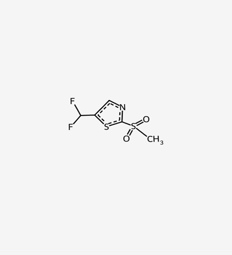 CS(=O)(=O)c1ncc(C(F)F)s1